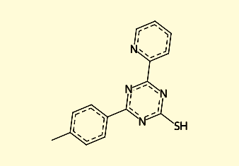 Cc1ccc(-c2nc(S)nc(-c3ccccn3)n2)cc1